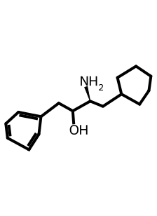 N[C@@H](CC1CCCCC1)C(O)Cc1ccccc1